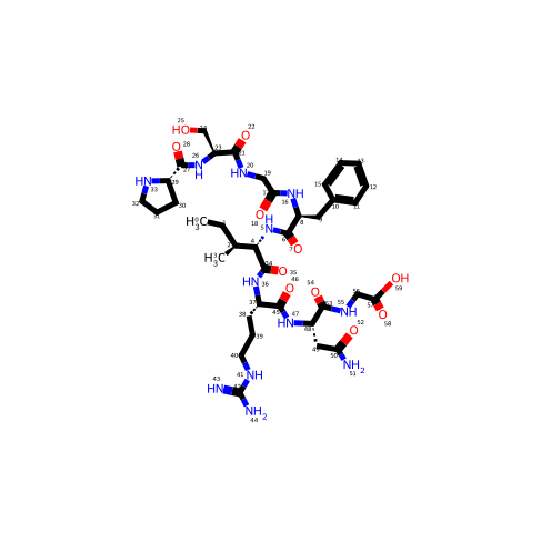 CC[C@H](C)[C@H](NC(=O)[C@H](Cc1ccccc1)NC(=O)CNC(=O)[C@H](CO)NC(=O)[C@@H]1CCCN1)C(=O)N[C@@H](CCCNC(=N)N)C(=O)N[C@@H](CC(N)=O)C(=O)NCC(=O)O